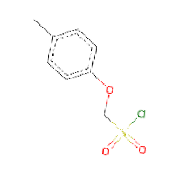 Cc1ccc(OCS(=O)(=O)Cl)cc1